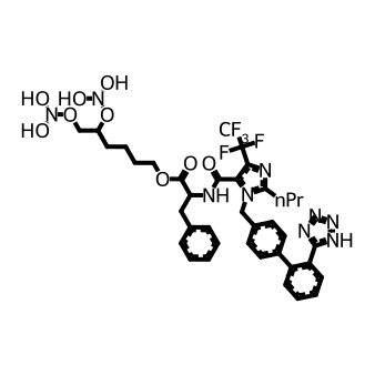 CCCc1nc(C(F)(F)C(F)(F)F)c(C(=O)NC(Cc2ccccc2)C(=O)OCCCCC(CON(O)O)ON(O)O)n1Cc1ccc(-c2ccccc2-c2nnn[nH]2)cc1